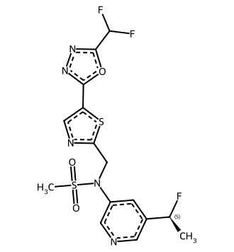 C[C@H](F)c1cncc(N(Cc2ncc(-c3nnc(C(F)F)o3)s2)S(C)(=O)=O)c1